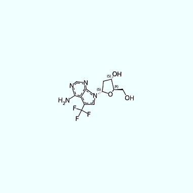 Nc1ncnc2c1c(C(F)(F)F)cn2[C@@H]1C[C@H](O)[C@@H](CO)O1